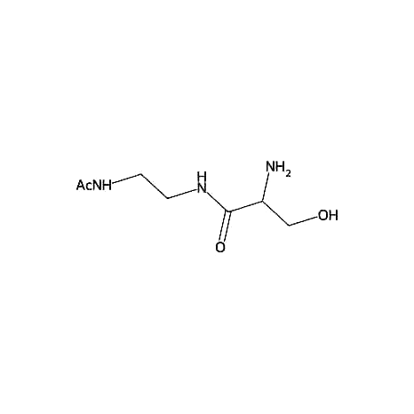 CC(=O)NCCNC(=O)C(N)CO